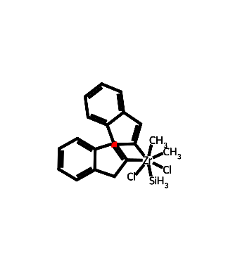 [CH3][Zr]([CH3])([SiH3])([Cl])([Cl])([C]1=Cc2ccccc2C1)[C]1=Cc2ccccc2C1